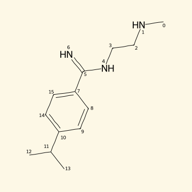 CNCCNC(=N)c1ccc(C(C)C)cc1